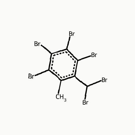 Cc1c(Br)c(Br)c(Br)c(Br)c1C(Br)Br